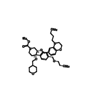 COCCCN1CCOc2ccc(CO[C@H]3CN(C(=O)OC(C)(C)C)CC[C@]3(OCC3CCOCC3)c3ccc(COCCOC)cc3)cc21